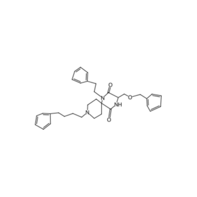 O=C1C(COCc2ccccc2)NC(=O)C2(CCN(CCCCc3ccccc3)CC2)N1CCc1ccccc1